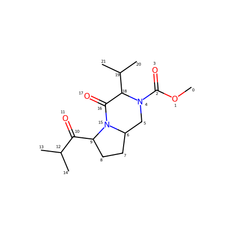 COC(=O)N1CC2CCC(C(=O)C(C)C)N2C(=O)C1C(C)C